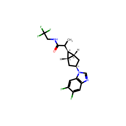 CC(C(=O)NCC(F)(F)F)[C@H]1[C@@H]2C[C@@H](n3cnc4cc(F)c(F)cc43)C[C@@H]21